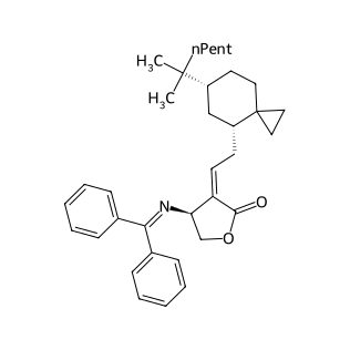 CCCCCC(C)(C)[C@@H]1CCC2(CC2)[C@H](C/C=C2\C(=O)OC[C@H]2N=C(c2ccccc2)c2ccccc2)C1